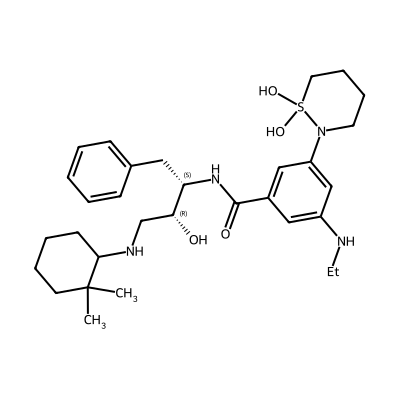 CCNc1cc(C(=O)N[C@@H](Cc2ccccc2)[C@H](O)CNC2CCCCC2(C)C)cc(N2CCCCS2(O)O)c1